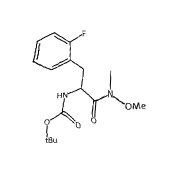 CON(C)C(=O)C(Cc1ccccc1F)NC(=O)OC(C)(C)C